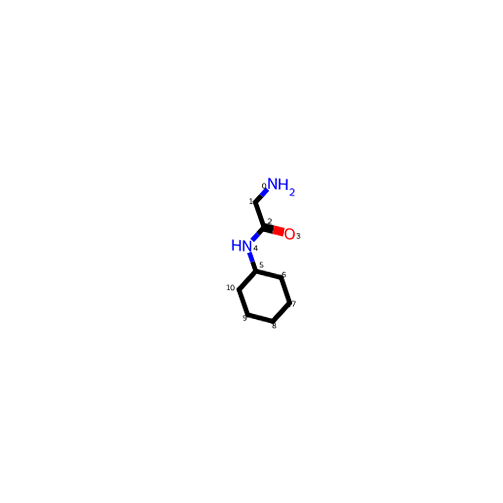 NCC(=O)NC1C[CH]CCC1